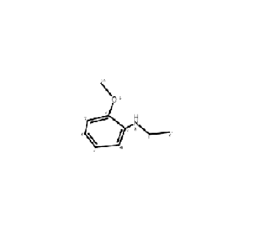 [CH2]CNc1ccccc1OC